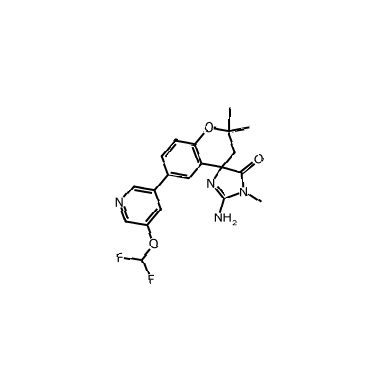 CN1C(=O)C2(CC(C)(C)Oc3ccc(-c4cncc(OC(F)F)c4)cc32)N=C1N